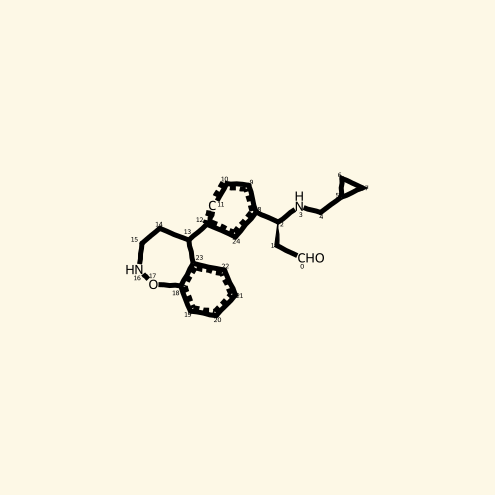 O=CC[C@H](NCC1CC1)c1cccc(C2CCNOc3ccccc32)c1